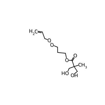 C=CCOOCCCOC(=O)C(C)(CO)CO